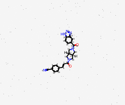 N#Cc1ccc(C=CC(=O)N2C[C@@H]3CN(C(=O)c4ccc5[nH]nnc5c4)C[C@H]3C2)cc1